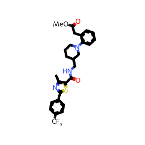 COC(=O)Cc1ccccc1N1CCCC(CNC(=O)c2sc(-c3ccc(C(F)(F)F)cc3)nc2C)C1